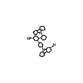 N#Cc1ccc(-c2ccccc2-n2c3ccccc3c3ccccc32)c(-c2ccc(-n3c4ccccc4c4ccc(C#N)cc43)cc2)c1